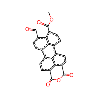 COC(=O)c1ccc2c3ccc4c5c(ccc(c6ccc(C=O)c1c62)c53)C(=O)OC4=O